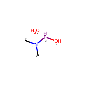 CN(C)PO.O